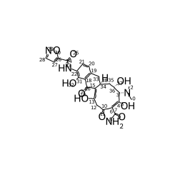 CN(C)[C@@H]1/C(O)=C(/C(N)=O)C(=O)C/C(O)=C2/C(=O)c3c(ccc(NC(=O)c4ccno4)c3O)C[C@H]2C[C@@H]1O